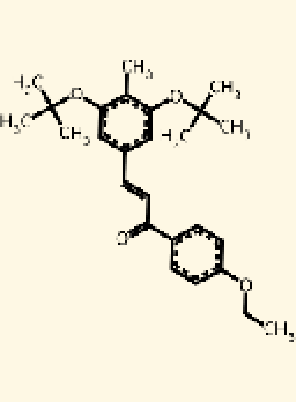 CCOc1ccc(C(=O)/C=C/c2cc(OC(C)(C)C)c(C)c(OC(C)(C)C)c2)cc1